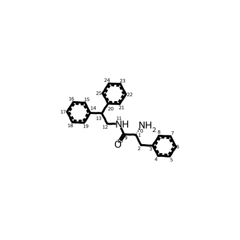 N[C@H](Cc1ccccc1)C(=O)NCC(c1ccccc1)c1ccccc1